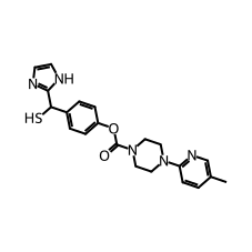 Cc1ccc(N2CCN(C(=O)Oc3ccc(C(S)c4ncc[nH]4)cc3)CC2)nc1